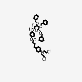 O=C(CCCc1ccc(N(CCCl)CCCl)cc1)Oc1ccc(N[C@@H]2O[C@H](COCc3ccccc3)[C@@H](OCc3ccccc3)[C@H](OCc3ccccc3)[C@H]2F)cc1